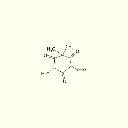 CCCCCCC1C(=O)C(C)C(=O)C(C)(C)C1=O